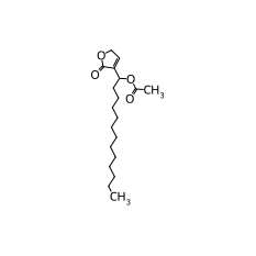 CCCCCCCCCCCCC(OC(C)=O)C1=CCOC1=O